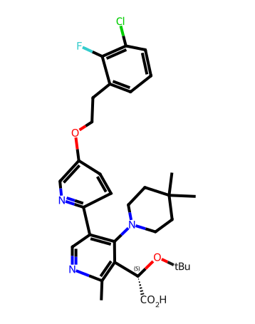 Cc1ncc(-c2ccc(OCCc3cccc(Cl)c3F)cn2)c(N2CCC(C)(C)CC2)c1[C@H](OC(C)(C)C)C(=O)O